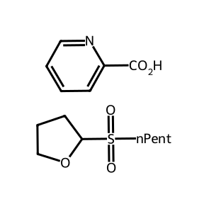 CCCCCS(=O)(=O)C1CCCO1.O=C(O)c1ccccn1